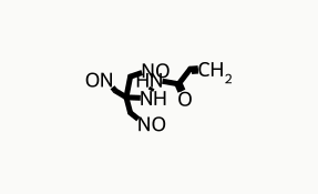 C=CC(=O)NNC(CN=O)(CN=O)CN=O